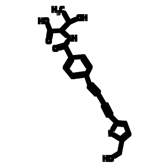 CC(O)C(NC(=O)c1ccc(C#CC#Cc2ccc(CO)s2)cc1)C(=O)O